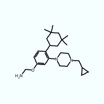 CC1(C)CC(c2ccc(OCN)cc2N2CCN(CC3CC3)CC2)CC(C)(C)C1